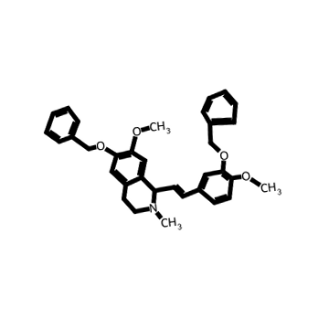 COc1ccc(/C=C/C2c3cc(OC)c(OCc4ccccc4)cc3CCN2C)cc1OCc1ccccc1